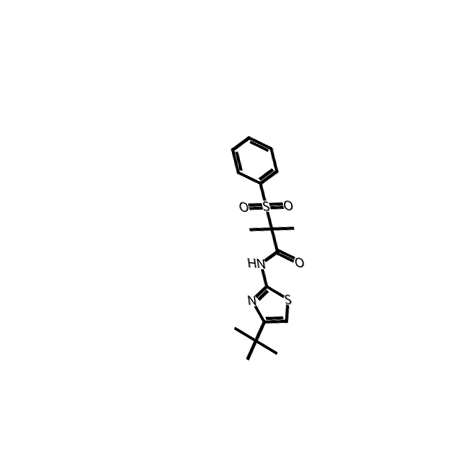 CC(C)(C)c1csc(NC(=O)C(C)(C)S(=O)(=O)c2ccccc2)n1